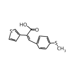 CSc1ccc(C=C(C(=O)O)c2ccsc2)cc1